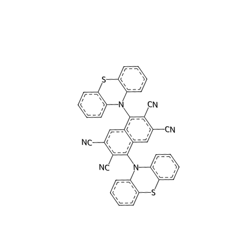 N#Cc1cc2c(N3c4ccccc4Sc4ccccc43)c(C#N)c(C#N)cc2c(N2c3ccccc3Sc3ccccc32)c1C#N